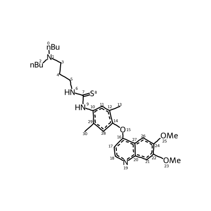 CCCCN(CCCC)CCCNC(=S)Nc1cc(C)c(Oc2ccnc3cc(OC)c(OC)cc23)cc1C